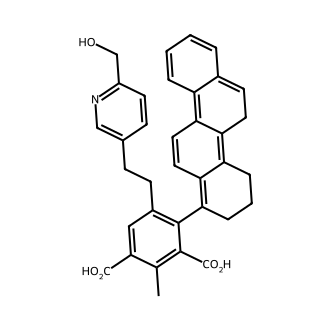 Cc1c(C(=O)O)cc(CCc2ccc(CO)nc2)c(C2=c3ccc4c(c3CCC2)CC=c2ccccc2=4)c1C(=O)O